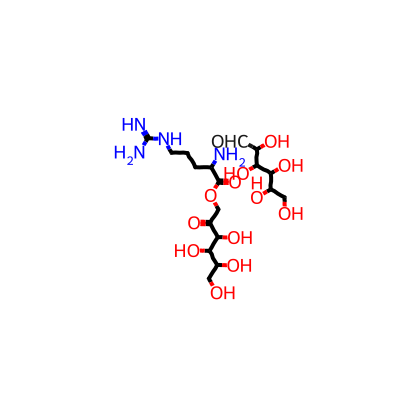 N=C(N)NCCCC(N)C(=O)OCC(=O)C(O)C(O)C(O)CO.O=CC(O)C(O)C(O)C(O)CO